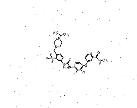 CNC(=O)c1cc(Oc2ccc(NC(=O)Nc3ccc(CN4CCN(C(C)C)CC4)c(C(F)(F)F)c3)c(F)c2Cl)ccn1